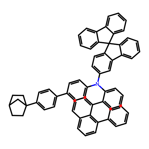 c1ccc(-c2cccc3cccc(-c4ccccc4N(c4ccc(-c5ccc(C67CCC(CC6)C7)cc5)cc4)c4ccc5c(c4)-c4ccccc4C54c5ccccc5-c5ccccc54)c23)cc1